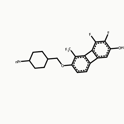 CCCC1CCC(COc2ccc3c(c2C(F)(F)F)-c2c-3cc(O)c(F)c2F)CC1